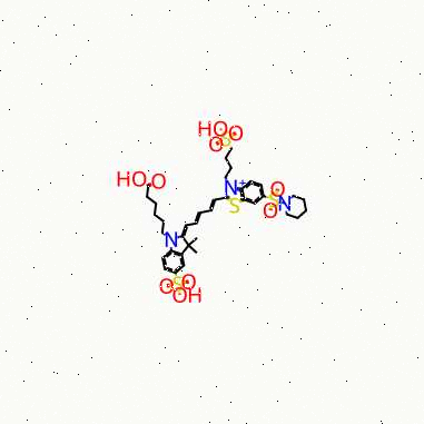 CC1(C)\C(=C/C=C/C=C/c2sc3cc(S(=O)(=O)N4CCCCC4)ccc3[n+]2CCCCS(=O)(=O)O)N(CCCCCC(=O)O)c2ccc(S(=O)(=O)O)cc21